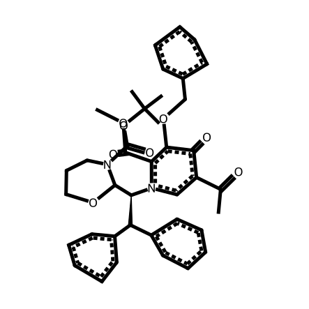 COC(=O)c1c(OCc2ccccc2)c(=O)c(C(C)=O)cn1[C@@H](C(c1ccccc1)c1ccccc1)C1OCCCN1C(=O)OC(C)(C)C